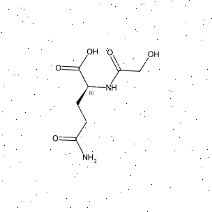 NC(=O)CC[C@H](NC(=O)CO)C(=O)O